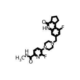 CNC(=O)c1ccc(N2CCN(Cc3cc(F)c4c5c(c(=O)[nH]c4c3)CCC5)CC2)c(F)n1